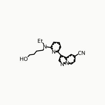 CCN(CCCCO)c1cccc(-c2cnn3ccc(C#N)cc23)n1